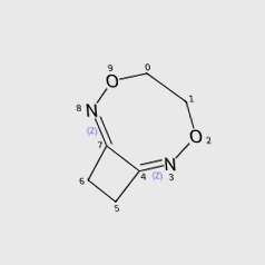 C1CO/N=C2/CC/C2=N/O1